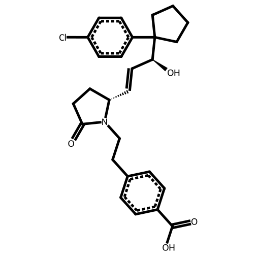 O=C(O)c1ccc(CCN2C(=O)CC[C@@H]2C=C[C@H](O)C2(c3ccc(Cl)cc3)CCCC2)cc1